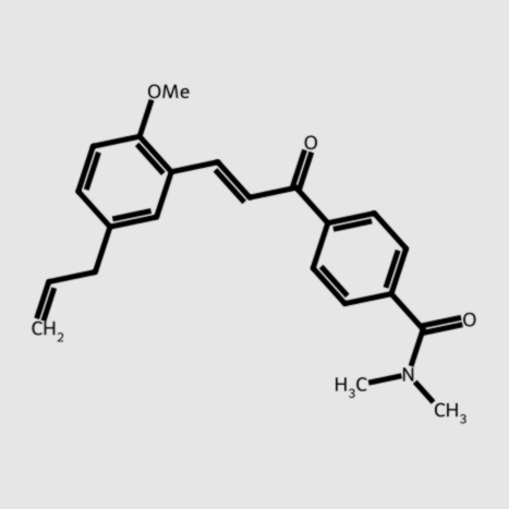 C=CCc1ccc(OC)c(C=CC(=O)c2ccc(C(=O)N(C)C)cc2)c1